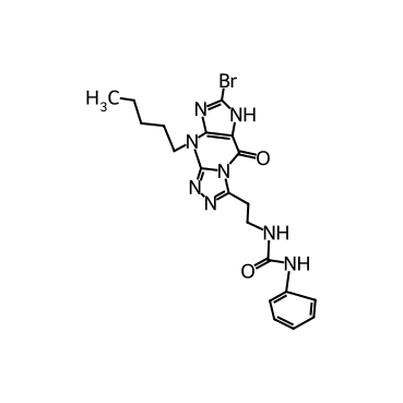 CCCCCn1c2nc(Br)[nH]c2c(=O)n2c(CCNC(=O)Nc3ccccc3)nnc12